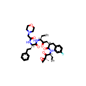 CC(C)C[C@H](NC(=O)[C@H](CCc1ccccc1)NC(=O)CN1CCOCC1)C(=O)C[C@@H](Cc1ccc(F)cc1)C(=O)N[C@@H](CC(C)C)C(=O)[C@@]1(C)CO1